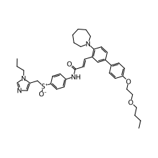 CCCCOCCOc1ccc(-c2ccc(N3CCCCCC3)c(/C=C/C(=O)Nc3ccc([S@@+]([O-])Cc4cncn4CCC)cc3)c2)cc1